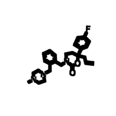 C=CCC1(c2ccc(F)cc2)CCN(Cc2ccccc2CN2CCN(C)CC2)C(=O)O1